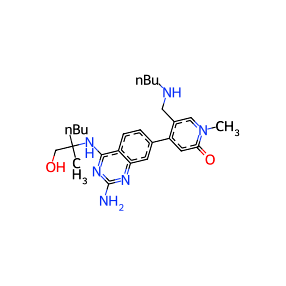 CCCCNCc1cn(C)c(=O)cc1-c1ccc2c(NC(C)(CO)CCCC)nc(N)nc2c1